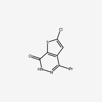 CC(C)c1n[nH]c(=O)c2sc(Cl)cc12